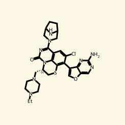 CCN1CCN(C[C@H]2CSc3c(-c4coc5cnc(N)nc45)c(Cl)cc4c(N5CC6CCC(C5)N6)nc(=O)n2c34)CC1